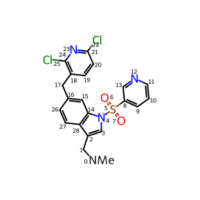 CNCc1cn(S(=O)(=O)c2cccnc2)c2cc(Cc3ccc(Cl)nc3Cl)ccc12